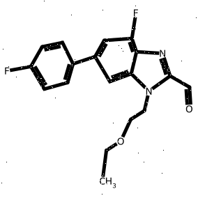 CCOCCn1c(C=O)nc2c(F)cc(-c3ccc(F)cc3)cc21